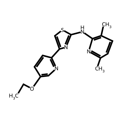 CCOc1ccc(-c2csc(Nc3nc(C)ccc3C)n2)nc1